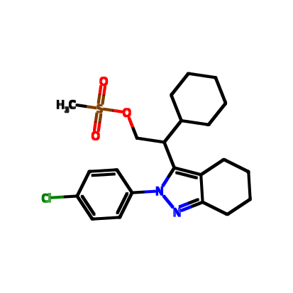 CS(=O)(=O)OCC(c1c2c(nn1-c1ccc(Cl)cc1)CCCC2)C1CCCCC1